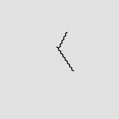 CCCCCCCCCCCC[CH]CC(C)CCCCCCCCC